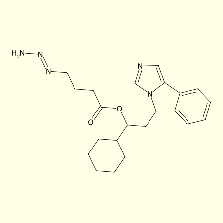 NN=NCCCC(=O)OC(CC1c2ccccc2-c2cncn21)C1CCCCC1